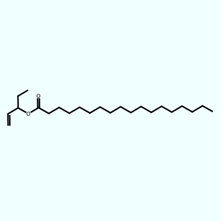 C=CC(CC)OC(=O)CCCCCCCCCCCCCCCCC